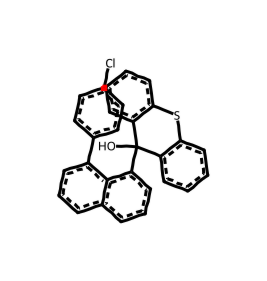 OC1(c2cccc3cccc(-c4ccc(Cl)cc4)c23)c2ccccc2Sc2ccccc21